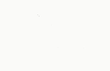 CCCCCCN1CCCC(COc2ccc(C(=O)c3c(-c4ccc(OC)cc4)sc4cc(OC)ccc34)cc2)C1